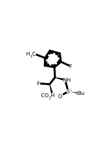 Cc1ccc(F)c([C@@H](N[S@@+]([O-])C(C)(C)C)[C@H](F)C(=O)O)c1